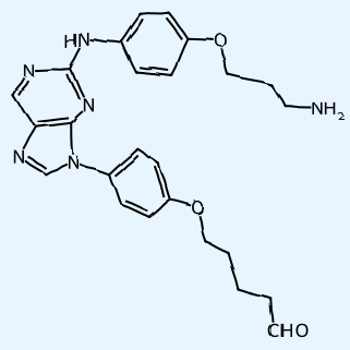 NCCCOc1ccc(Nc2ncc3ncn(-c4ccc(OCCCCC=O)cc4)c3n2)cc1